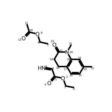 CCOC(=O)C=N.CCOC(C)=O.Cc1ccc2c(c1)N(C)C(=O)CC2